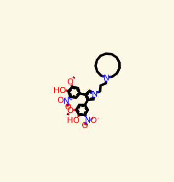 COc1cc(-c2cn(CCCN3CCCCCCCCCCCC3)cc2-c2cc(OC)c(O)c([N+](=O)[O-])c2)cc([N+](=O)[O-])c1O